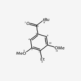 CCc1c(OC)cc(C(=O)C(C)(C)C)cc1OC